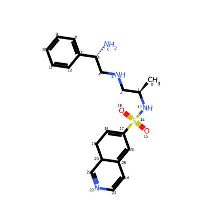 C[C@H](CNC[C@@H](N)c1ccccc1)NS(=O)(=O)C1=CCC2C=NC=CC2=C1